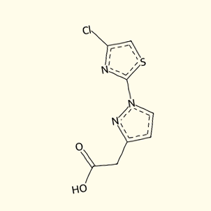 O=C(O)Cc1ccn(-c2nc(Cl)cs2)n1